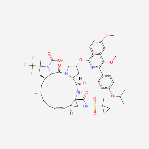 COc1ccc2c(O[C@@H]3C[C@H]4C(=O)N[C@]5(C(=O)NS(=O)(=O)C6(C)CC6)C[C@H]5C=CCC[C@H](C)C[C@@H](C)[C@H](N(C(=O)O)C(C)(C)C(F)(F)F)C(=O)N4C3)nc(-c3ccc(OC(C)C)cc3)c(OC)c2c1